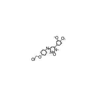 COc1ccc(-c2c/c(=N/c3ccc(OCC4CO4)cc3)n(C)c(=O)n2C)cc1OC